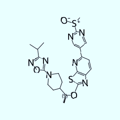 CC(C)c1noc(N2CCC([C@H](C)Oc3nc4ccc(-c5cnc([S+](C)[O-])nc5)nc4s3)CC2)n1